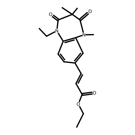 CCOC(=O)C=Cc1ccc2c(c1)N(C)C(=O)C(C)(C)C(=O)N2CC